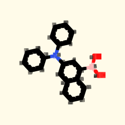 OB(O)c1cc(N(c2ccccc2)c2ccccc2)cc2ccccc12